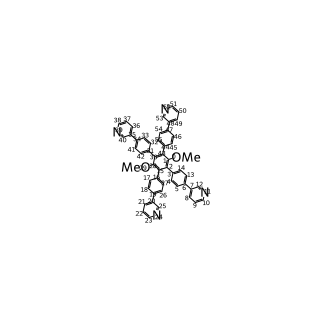 COc1c(-c2ccc(-c3cccnc3)cc2)c(-c2ccc(-c3cccnc3)cc2)c(OC)c(-c2ccc(-c3cccnc3)cc2)c1-c1ccc(-c2cccnc2)cc1